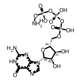 NOP(=O)(O)OP(=O)(O)OP(=O)(O)OC[C@H]1O[C@@H](n2cnc3c(=O)[nH]c(N)nc32)[C@H](O)[C@@H]1O